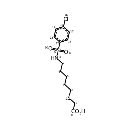 O=C(O)CSCCCCCNS(=O)(=O)c1ccc(Cl)cc1